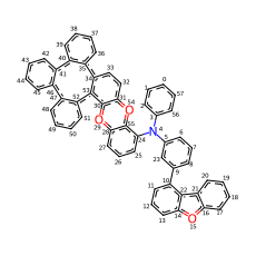 c1ccc(N(c2cccc(-c3cccc4oc5ccccc5c34)c2)c2cccc3oc4c(ccc5c6ccccc6c6ccccc6c6ccccc6c54)oc23)cc1